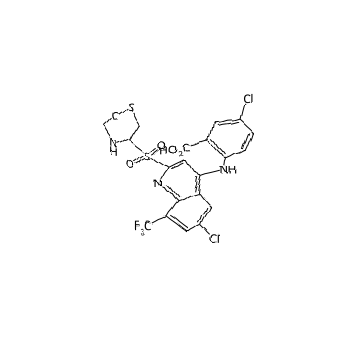 O=C(O)c1cc(Cl)ccc1Nc1cc(S(=O)(=O)C2CSCCN2)nc2c(C(F)(F)F)cc(Cl)cc12